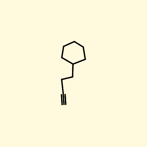 [C]#CCCC1CCCCC1